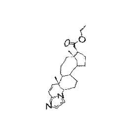 CCOC(=O)[C@H]1CCC2C3CCC4n5ccnc5C=C[C@]4(C)C3CC[C@@]21C